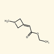 CCOC(=O)C=C1CN(C)C1